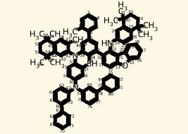 Cc1ccccc1-c1cc(-c2ccc3oc4ccccc4c3c2Nc2ccc3c(c2)C(C)(C)CCC3(C)C)c2c(c1)N(c1cc3c(cc1C)C(C)(C)CCC3(C)C)c1ccc(N(c3cccc(-c4ccccc4)c3)c3cccc(-c4ccccc4)c3)cc1B2